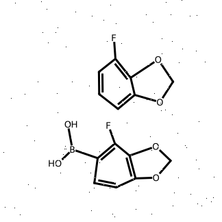 Fc1cccc2c1OCO2.OB(O)c1ccc2c(c1F)OCO2